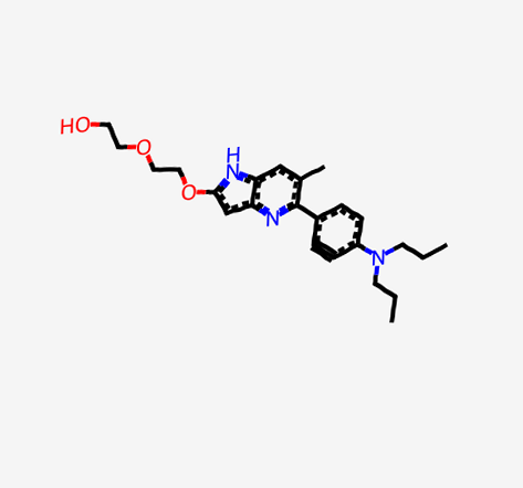 CCCN(CCC)c1c#cc(-c2nc3cc(OCCOCCO)[nH]c3cc2C)cc1